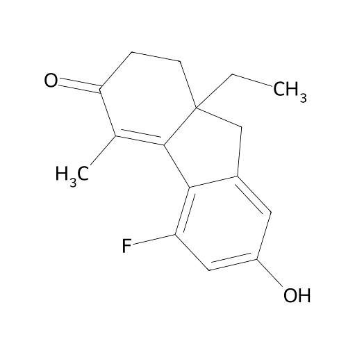 CCC12CCC(=O)C(C)=C1c1c(F)cc(O)cc1C2